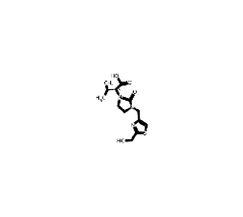 CC(C)[C@@H](C(=O)O)N1CCN(Cc2csc(CO)n2)C1=O